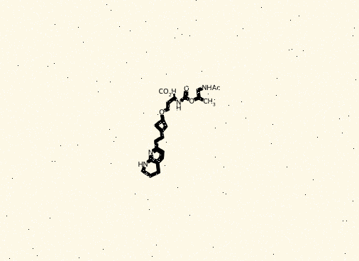 CC(=O)NCC(C)OC(=O)N[C@@H](CCOC1CC(CCc2ccc3c(n2)NCCC3)C1)C(=O)O